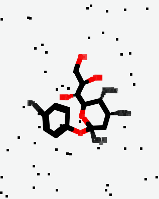 CO[C@@H]1C[C@@](Oc2ccc(C(C)C)cc2)(C(=O)O)OC([C@H](O)[C@H](O)CO)[C@@H]1NC(C)=O